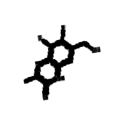 Cc1nc2c(F)c(F)c(CO)cc2[nH]c1=O